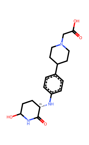 O=C(O)CN1CCC(c2ccc(N[C@H]3CCC(O)NC3=O)cc2)CC1